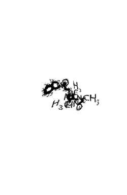 Cc1cc(=O)[nH]c(-c2c(C)nn(CCC(=O)N3CCc4ccccc4C3)c2C)n1